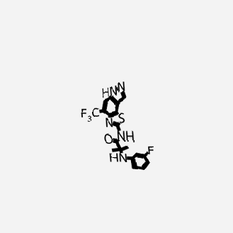 CC(C)(Nc1cccc(F)c1)C(=O)Nc1nc2c(C(F)(F)F)cc3[nH]ncc3c2s1